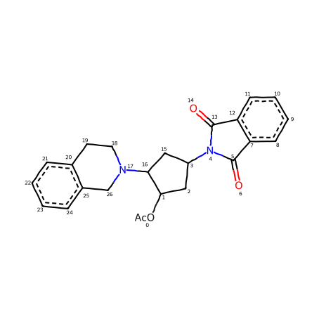 CC(=O)OC1CC(N2C(=O)c3ccccc3C2=O)CC1N1CCc2ccccc2C1